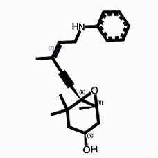 C/C(C#C[C@@]12O[C@]1(C)C[C@@H](O)CC2(C)C)=C/CNc1ccccc1